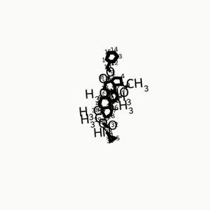 CC(O)[C@@H]1CC[C@]2(C(=O)OCc3ccccc3)CC[C@]3(C)C(CCC4[C@@]5(C)CC[C@@H](OC(=O)NC6CC6)C(C)(C)C5CC[C@]43C)C12